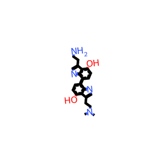 CN(C)CCC1=CN=c2c1c(O)ccc2=c1ccc(O)c2c1=NC=C2CCN